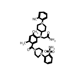 Cc1cc(C)c(N(CC(N)=O)C2CCN(c3ccccc3C#N)CC2)cc1C(=O)N1CCN(c2ccccc2S(N)(=O)=O)CC1